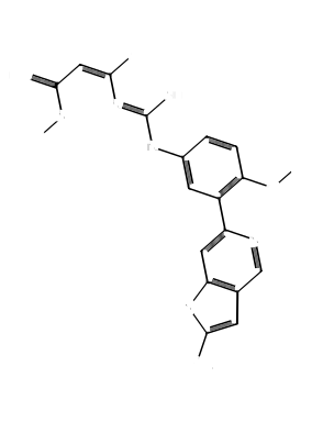 C=C(/C=C(C)\N=C(/N)Nc1ccc(OC)c(-c2cc3[nH]c(C)cc3cn2)c1)NC